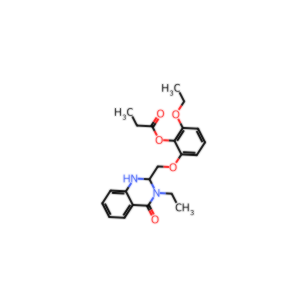 CCOc1cccc(OCC2Nc3ccccc3C(=O)N2CC)c1OC(=O)CC